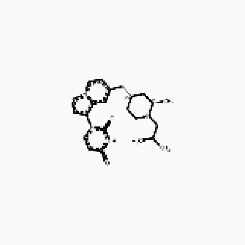 CC(C)CN1CC[C@H](Cc2ccn3ncc(-n4ccc(=O)[nH]c4=O)c3c2)C[C@H]1C